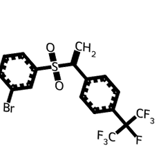 C=C(c1ccc(C(F)(C(F)(F)F)C(F)(F)F)cc1)S(=O)(=O)c1cccc(Br)c1